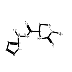 CC(C)CC(NC(=O)OC(C)(C)C)C(=O)N[S+]([O-])c1cccs1